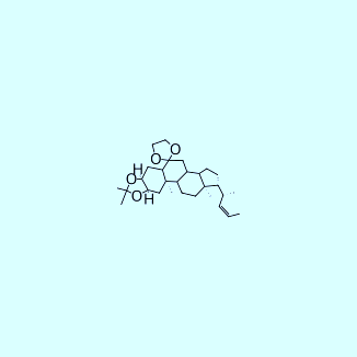 C/C=C\[C@@H](C)[C@H]1CCC2C3CC4(OCCO4)C4C[C@@H]5OC(C)(C)O[C@@H]5C[C@]4(C)C3CC[C@@]21C